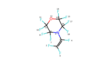 FC(F)=C(F)N1C(F)(F)C(F)(F)OC(F)(F)C1(F)F